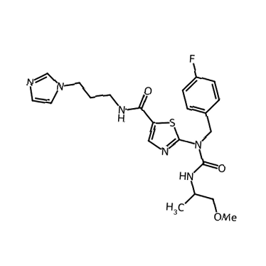 COCC(C)NC(=O)N(Cc1ccc(F)cc1)c1ncc(C(=O)NCCCn2ccnc2)s1